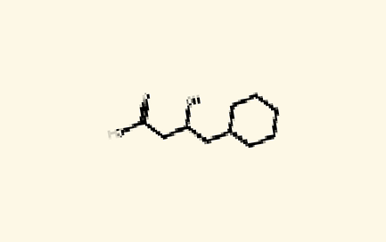 O=C(O)CC(O)CC1CCCCC1